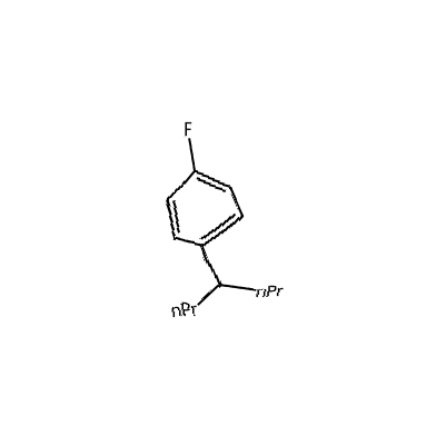 CCCC(CCC)c1ccc(F)cc1